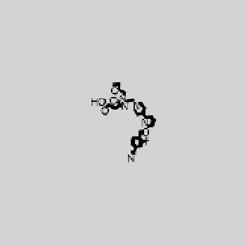 N#Cc1ccc(COc2cccc(C3=CCN(Cc4nc5cc(C(=O)O)oc5n4CC4CCO4)CC3)n2)c(F)c1